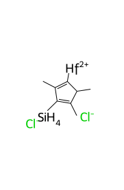 CC1=C(C)C(C)[C]([Hf+2])=C1C.[Cl-].[Cl-].[SiH4]